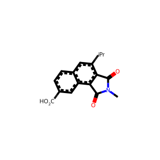 CC(C)c1cc2ccc(C(=O)O)cc2c2c1C(=O)N(C)C2=O